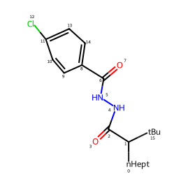 CCCCCCCC(C(=O)NNC(=O)c1ccc(Cl)cc1)C(C)(C)C